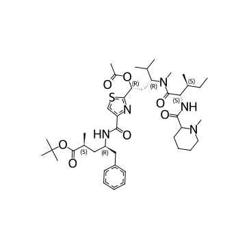 CC[C@H](C)[C@H](NC(=O)C1CCCCN1C)C(=O)N(C)[C@H](C[C@@H](OC(C)=O)c1nc(C(=O)N[C@@H](Cc2ccccc2)C[C@H](C)C(=O)OC(C)(C)C)cs1)C(C)C